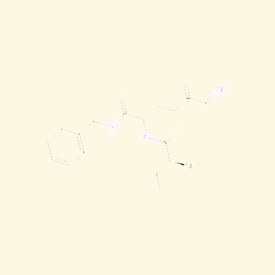 CC(=O)N[C@@H](CC(=O)O)C(=O)N[C@@H](CCC(=O)C=N)C(=O)NCc1ccccc1